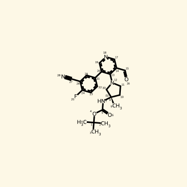 CC(C)(C)OC(=O)N[C@@]1(C)CCN(c2c(C=O)cncc2-c2ccc(F)c(C#N)c2)C1